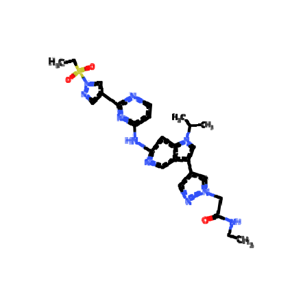 CCNC(=O)Cn1cc(-c2cn(C(C)C)c3cc(Nc4ccnc(-c5cnn(S(=O)(=O)CC)c5)n4)ncc23)cn1